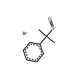 CC(C)([S+]=O)c1ccccc1.[Br-]